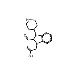 O=CC1N(CC(=O)O)c2ccccc2N1C1CCNCC1